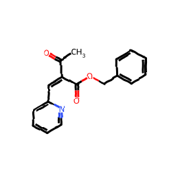 CC(=O)C(=Cc1ccccn1)C(=O)OCc1ccccc1